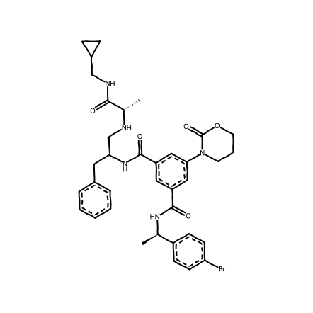 C[C@H](NC[C@H](Cc1ccccc1)NC(=O)c1cc(C(=O)N[C@H](C)c2ccc(Br)cc2)cc(N2CCCOC2=O)c1)C(=O)NCC1CC1